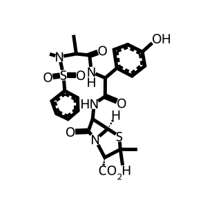 CC(C(=O)NC(C(=O)NC1C(=O)N2[C@@H]1SC(C)(C)[C@@H]2C(=O)O)c1ccc(O)cc1)N(C)S(=O)(=O)c1ccccc1